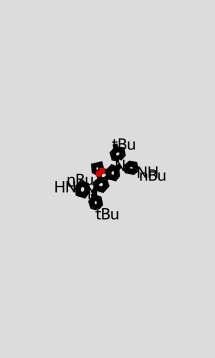 CCCCNc1ccc(N(c2ccc(C(C)(C)C)cc2)c2ccc3c(c2)C24CCCC2(CCC4)c2cc(N(c4ccc(NCCCC)cc4)c4ccc(C(C)(C)C)cc4)ccc2-3)cc1